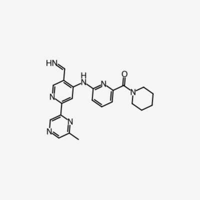 Cc1cncc(-c2cc(Nc3cccc(C(=O)N4CCCCC4)n3)c(C=N)cn2)n1